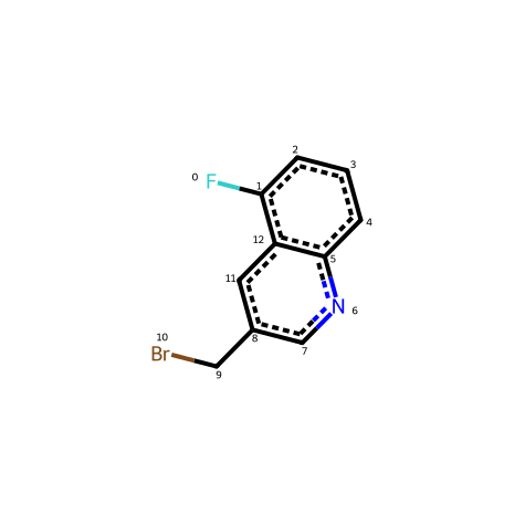 Fc1cccc2ncc(CBr)cc12